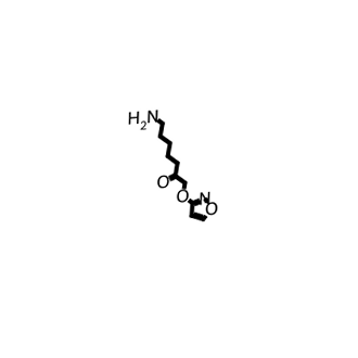 NCCCCCC(=O)COc1ccon1